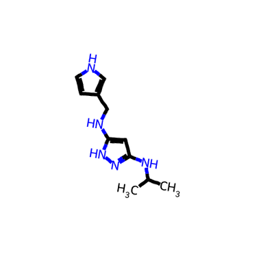 CC(C)Nc1cc(NCc2cc[nH]c2)[nH]n1